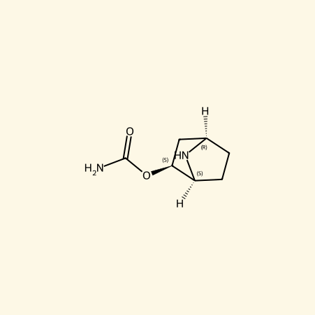 NC(=O)O[C@H]1C[C@H]2CC[C@@H]1N2